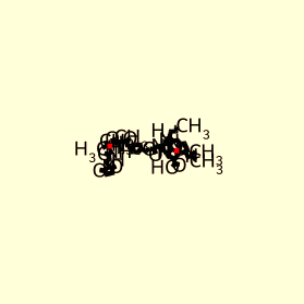 CCCCc1nc2c(NC(=O)OCc3ccc(NC(=O)[C@H](C)NC(=O)[C@@H](NC(=O)CCN4C(=O)C=CC4=O)C(C)C)cc3)nc3cc(C(=O)O)ccc3c2n1Cc1ccc(CN(C)C)cc1